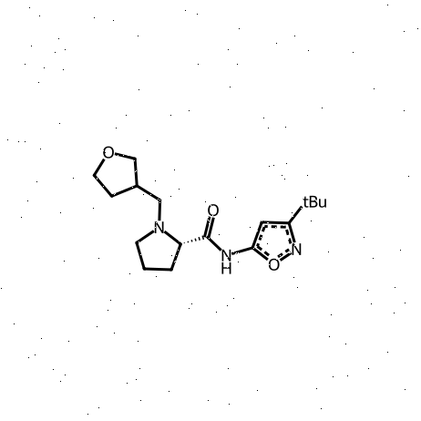 CC(C)(C)c1cc(NC(=O)[C@@H]2CCCN2CC2CCOC2)on1